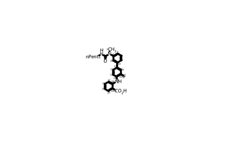 CCCCCNC(=O)N(C)c1cccc(-c2ccc(Nc3ccccc3C(=O)O)c(F)c2)c1